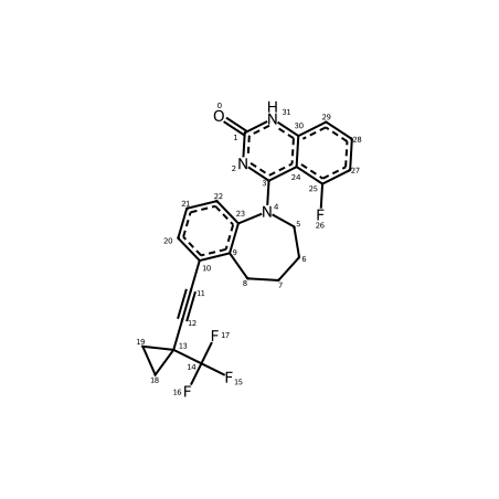 O=c1nc(N2CCCCc3c(C#CC4(C(F)(F)F)CC4)cccc32)c2c(F)cccc2[nH]1